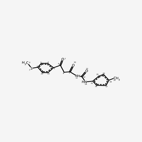 CSc1ccc(C(=O)CC(=O)NC(=O)Nc2ccc(C)cc2)cc1